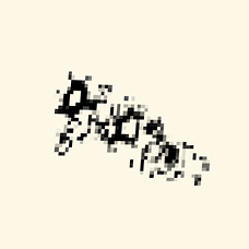 CCOc1ccccc1C(=O)Nc1ncc2c(n1)CCN(OC(=O)OC(C)(C)C)C2